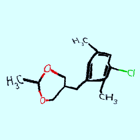 Cc1cc(Cl)c(C)c(CC2COC(C)OC2)c1